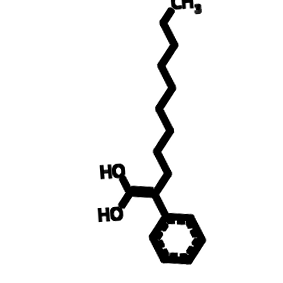 CCCCCCCCCC(=C(O)O)c1ccccc1